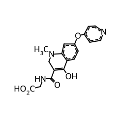 CN1CC(C(=O)NCC(=O)O)=C(O)c2ccc(Oc3ccncc3)cc21